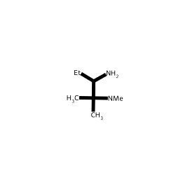 CCC(N)C(C)(C)NC